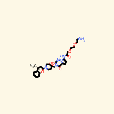 C[C@H](CC(=O)N1CCC(O)(Cn2cnn3c(NC(=O)COCCOCCN)ccc3c2=O)CC1)c1ccccc1